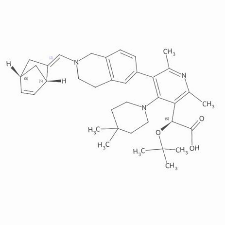 Cc1nc(C)c([C@H](OC(C)(C)C)C(=O)O)c(N2CCC(C)(C)CC2)c1-c1ccc2c(c1)CCN(/C=C1/C[C@H]3C=C[C@@H]1C3)C2